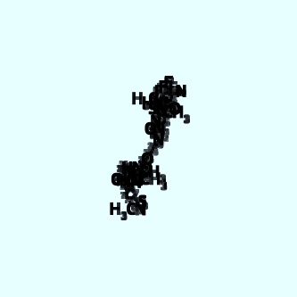 Cc1ncsc1-c1ccc(CNC(=O)[C@@H]2CCCN2C(=O)[C@@H](NC(=O)COCCCCN2CCN(c3ccc(N(C(=S)N(C)c4ccc(C#N)c(C(F)(F)F)c4F)C(C)(C)C=O)cn3)C(=O)C2)C(C)(C)C)cc1